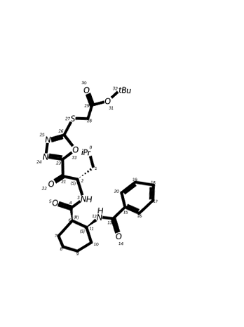 CC(C)C[C@H](NC(=O)[C@@H]1CCCC[C@@H]1NC(=O)c1ccccc1)C(=O)c1nnc(SCC(=O)OC(C)(C)C)o1